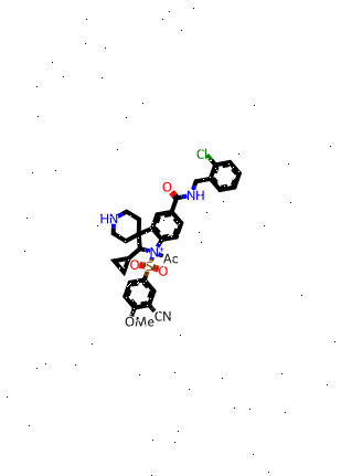 COc1ccc(S(=O)(=O)[N+]2(C(C)=O)c3ccc(C(=O)NCc4ccccc4Cl)cc3C3(CCNCC3)C2C2CC2)cc1C#N